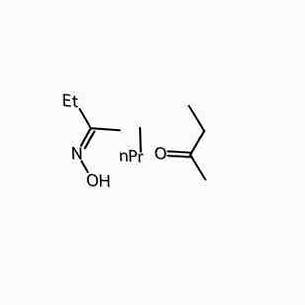 CC/C(C)=N/O.CCC(C)=O.CCCC